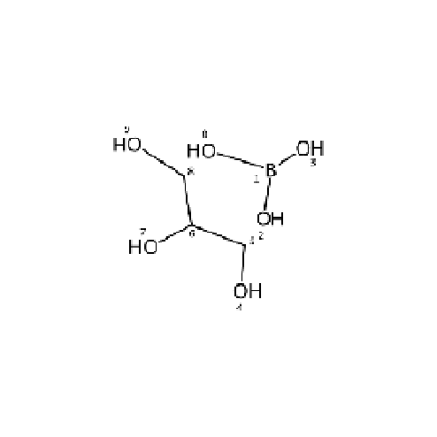 OB(O)O.OCC(O)CO